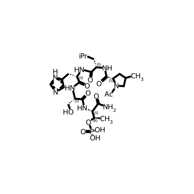 CC(=O)N1CC(C)C[C@H]1C(=O)N[C@@H](CC(C)C)C(=O)N[C@@H](Cc1cnc[nH]1)C(=O)N[C@@H](CO)C(=O)N[C@H](C(N)=O)[C@@H](C)OP(=O)(O)O